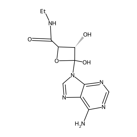 CCNC(=O)C1OC(O)(n2cnc3c(N)ncnc32)[C@H]1O